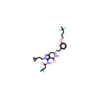 CC(F)(F)CCCOc1cccc(CC[C@H]2Cc3nn(CCC4CC4)c(NC(=O)CC(C)(F)F)c3C(=O)N2)c1